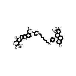 CC[C@@]1(O)C(=O)OCc2c1cc1n(c2=O)Cc2cc3c(CN(C)C)c(OC4CCN(CCCCCCN(C)c5ccc([C@H]6C[C@@]7(C)C(CC[C@]7(OC(C)=O)C(C)=O)C7CCC8=CC(=O)CCC8=C76)cc5)CC4)ccc3nc2-1